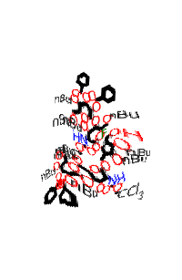 CCCCOCC1O[C@@H](OCC2C(O[C@@H]3OC(COCCCC)[C@@H](O[C@@H]4OC(COCCCC)[C@H](OCCCC)C(OC(=O)c5ccccc5)[C@@H]4OC(=O)c4ccccc4)C(OCCCC)[C@@H]3NC(=O)OCC(Cl)(Cl)Cl)[C@@H]([C@H](O)F)C(OCCCC)[C@@H]2OCCCC)[C@@H](NC(=O)OCC(Cl)(Cl)Cl)C(OCCCC)[C@@H]1O[C@@H]1OC(COCCCC)[C@H](OCCCC)C(OC(=O)c2ccccc2)C1OC(=O)c1ccccc1